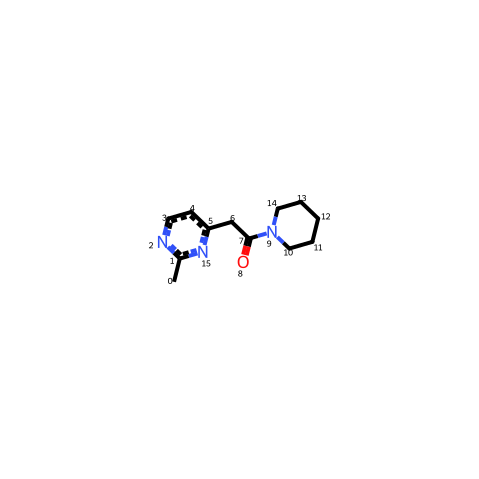 Cc1nccc(CC(=O)N2CCCCC2)n1